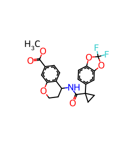 COC(=O)c1ccc2c(c1)OCCC2NC(=O)C1(c2ccc3c(c2)OC(F)(F)O3)CC1